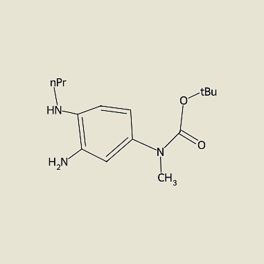 CCCNc1ccc(N(C)C(=O)OC(C)(C)C)cc1N